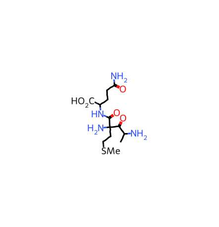 CSCCC(N)(C(=O)NC(CCC(N)=O)C(=O)O)C(=O)C(C)N